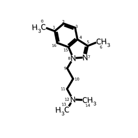 Cc1ccc2c(C)nn(CCCN(C)C)c2c1